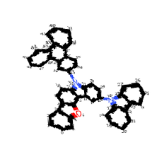 c1ccc2c(c1)oc1c2ccc2c1c1cc(-n3c4ccccc4c4ccccc43)ccc1n2-c1ccc2c3ccccc3c3ccccc3c2c1